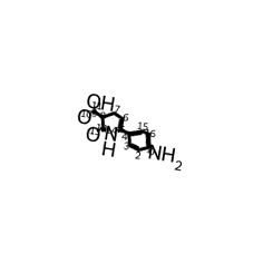 Nc1ccc(C2=CCC(C(=O)O)C(=O)N2)cc1